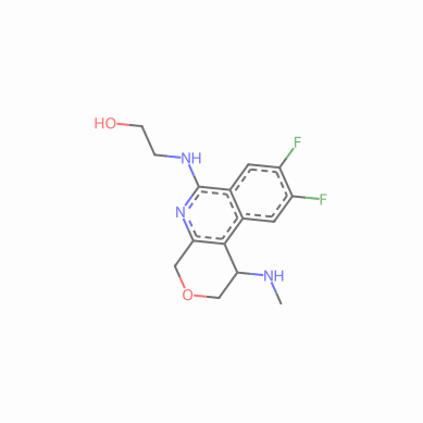 CNC1COCc2nc(NCCO)c3cc(F)c(F)cc3c21